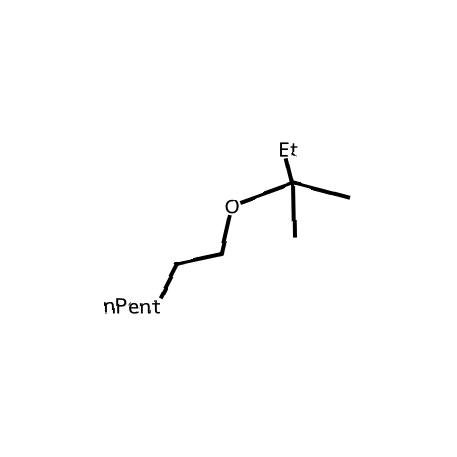 CCCCCCCOC(C)(C)CC